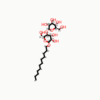 CCCCCCCCCCCCO[C@H]1O[C@H](CO)[C@@H](O[C@H]2O[C@H](CO)[C@@H](O)[C@H](O)[C@H]2O)[C@H](O)[C@H]1O